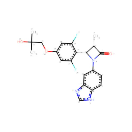 C[C@@H]1C(=O)N(c2ccc3[nH]cnc3c2)[C@@H]1c1c(F)cc(OCC(C)(C)O)cc1F